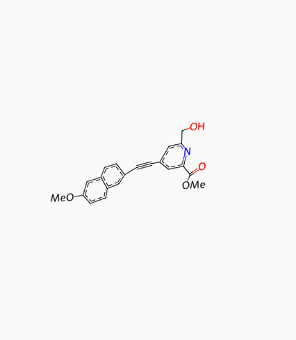 COC(=O)c1cc(C#Cc2ccc3cc(OC)ccc3c2)cc(CO)n1